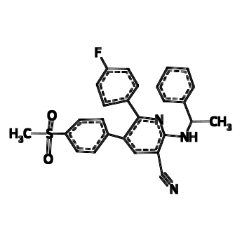 CC(Nc1nc(-c2ccc(F)cc2)c(-c2ccc(S(C)(=O)=O)cc2)cc1C#N)c1ccccc1